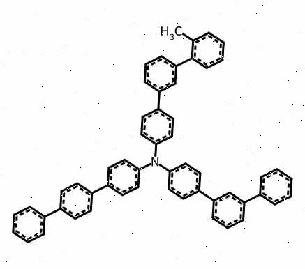 Cc1ccccc1-c1cccc(-c2ccc(N(c3ccc(-c4ccc(-c5ccccc5)cc4)cc3)c3ccc(-c4cccc(-c5ccccc5)c4)cc3)cc2)c1